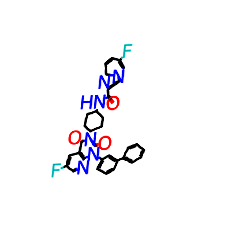 O=C(N[C@H]1CC[C@@H](n2c(=O)c3cc(F)cnc3n(-c3cccc(-c4ccccc4)c3)c2=O)CC1)c1cn2cc(F)ccc2n1